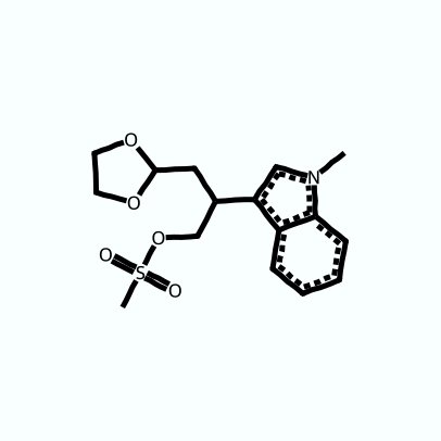 Cn1cc(C(COS(C)(=O)=O)CC2OCCO2)c2ccccc21